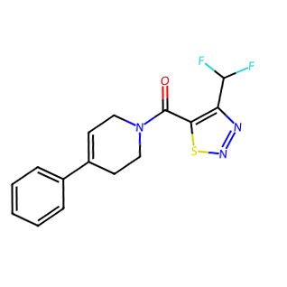 O=C(c1snnc1C(F)F)N1CC=C(c2ccccc2)CC1